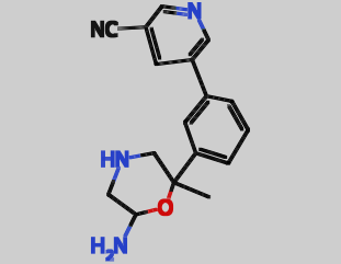 CC1(c2cccc(-c3cncc(C#N)c3)c2)CNCC(N)O1